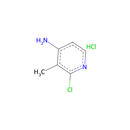 Cc1c(N)ccnc1Cl.Cl